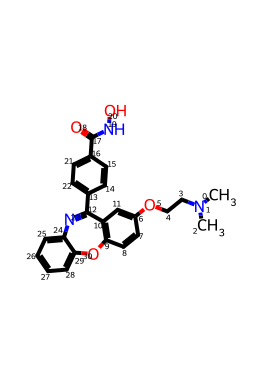 CN(C)CCOc1ccc2c(c1)C(c1ccc(C(=O)NO)cc1)=Nc1ccccc1O2